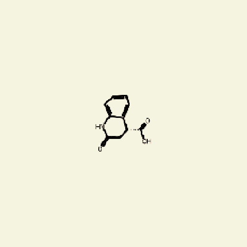 O=C1C[C@@H](C(=O)O)c2ccccc2N1